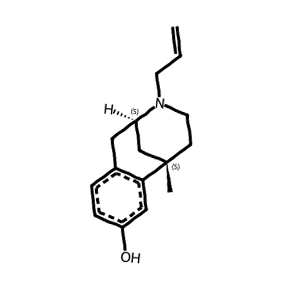 C=CCN1CC[C@@]2(C)C[C@H]1Cc1ccc(O)cc12